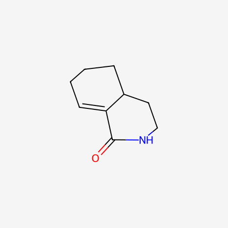 O=C1NCCC2CCCC=C12